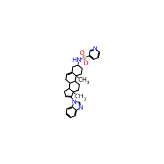 C[C@]12CC[C@H](NS(=O)(=O)c3cccnc3)CC1=CCC1C2CC[C@]2(C)C(n3cnc4ccccc43)=CCC12